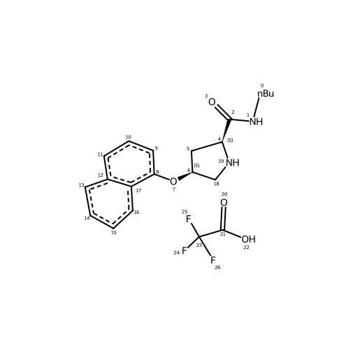 CCCCNC(=O)[C@@H]1C[C@H](Oc2cccc3ccccc23)CN1.O=C(O)C(F)(F)F